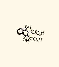 O=C(O)c1c(C(=O)O)c(O)c2ccccc2c1O